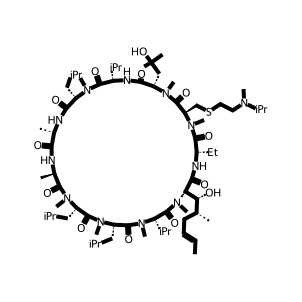 C/C=C/C[C@@H](C)[C@@H](O)[C@H]1C(=O)N[C@@H](CC)C(=O)N(C)[C@H](CSCCN(C)C(C)C)C(=O)N(C)[C@@H](CC(C)(C)O)C(=O)N[C@@H](C(C)C)C(=O)N(C)[C@@H](CC(C)C)C(=O)N[C@@H](C)C(=O)N[C@H](C)C(=O)N(C)[C@@H](CC(C)C)C(=O)N(C)[C@@H](CC(C)C)C(=O)N(C)[C@@H](C(C)C)C(=O)N1C